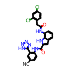 N#Cc1ccc(NC(=O)c2cc3cccc(NC(=O)Cc4ccc(Cl)cc4Cl)c3[nH]2)c(-c2nnn[nH]2)c1